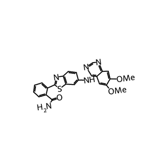 COc1cc2ncnc(Nc3ccc4nc(-c5ccccc5C(N)=O)sc4c3)c2cc1OC